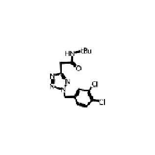 CC(C)(C)NC(=O)Cc1nnn(Cc2ccc(Cl)c(Cl)c2)n1